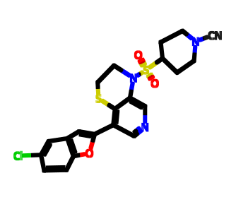 N#CN1CCC(S(=O)(=O)N2CCSc3c(-c4cc5cc(Cl)ccc5o4)cncc32)CC1